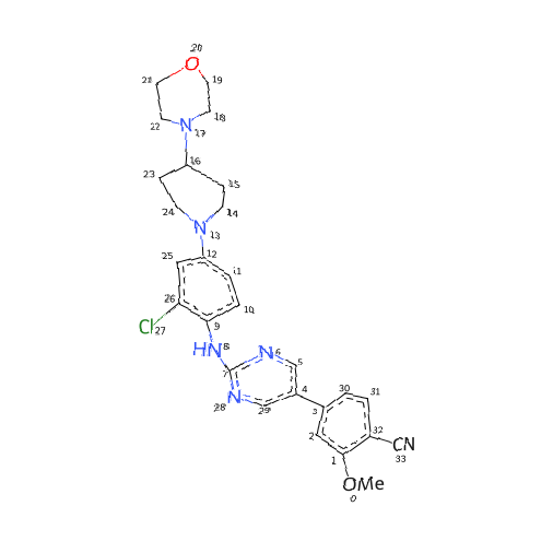 COc1cc(-c2cnc(Nc3ccc(N4CCC(N5CCOCC5)CC4)cc3Cl)nc2)ccc1C#N